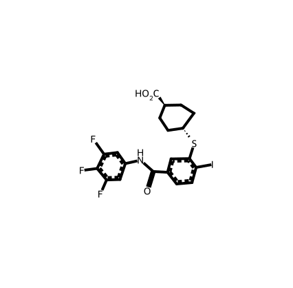 O=C(Nc1cc(F)c(F)c(F)c1)c1ccc(I)c(S[C@H]2CC[C@H](C(=O)O)CC2)c1